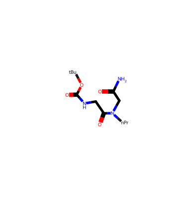 CCCN(CC(N)=O)C(=O)CNC(=O)OC(C)(C)C